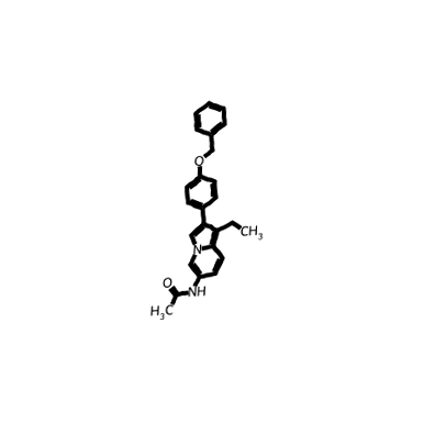 CCc1c(-c2ccc(OCc3ccccc3)cc2)cn2cc(NC(C)=O)ccc12